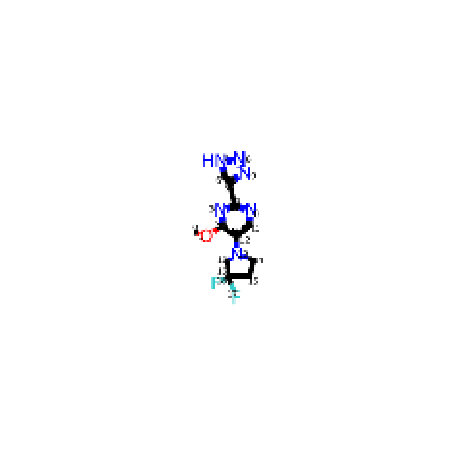 COc1nc(-c2c[nH]nn2)ncc1N1CCC(F)(F)C1